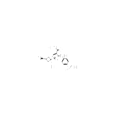 C[S+]([O-])c1ccc(Nc2nn(C3(C)CC(C#N)C3)cc2C(N)=O)cc1